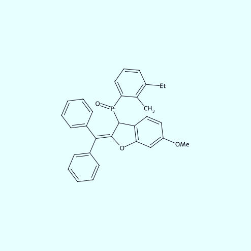 CCc1cccc([P](=O)C2C(=C(c3ccccc3)c3ccccc3)Oc3cc(OC)ccc32)c1C